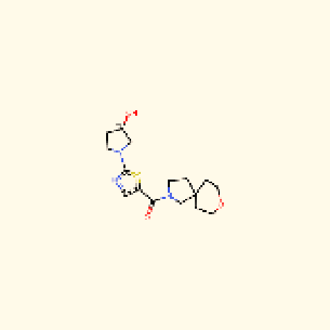 O=C(c1cnc(N2CC[C@@H](O)C2)s1)N1CCC2(CCOCC2)C1